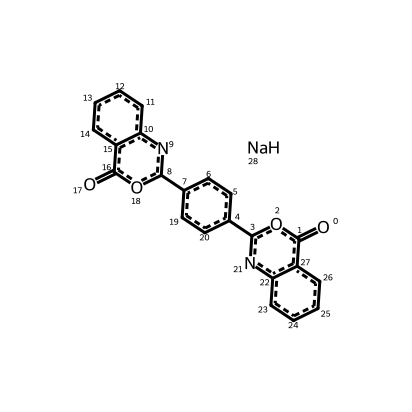 O=c1oc(-c2ccc(-c3nc4ccccc4c(=O)o3)cc2)nc2ccccc12.[NaH]